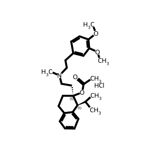 COc1ccc(CCN(C)CC[C@@]2(OC(C)=O)CCc3ccccc3[C@@H]2C(C)C)cc1OC.Cl